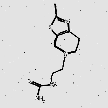 Cc1nc2c(s1)CN(CCNC(N)=O)CC2